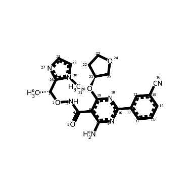 C[C@@H](ONC(=O)c1c(N)nc(-c2cccc(C#N)c2)nc1O[C@H]1CCOC1)c1nccn1C